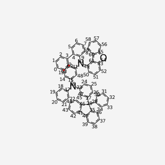 c1ccc(-c2ccccc2N(c2cccc(N(c3ccccc3)c3cccc(C4(c5ccccc5)c5ccccc5-c5ccccc54)c3)c2)c2cccc3oc4ccccc4c23)cc1